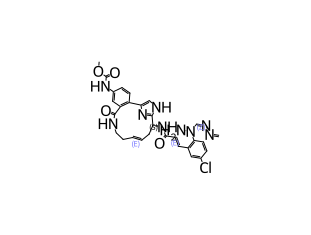 C=N/N=C\N(N)c1ccc(Cl)cc1/C=C/C(=O)N[C@H]1C/C=C/CCNC(=O)c2cc(NC(=O)OC)ccc2-c2c[nH]c1n2